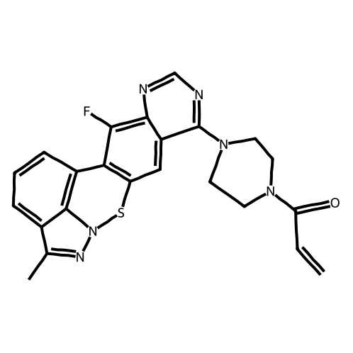 C=CC(=O)N1CCN(c2ncnc3c(F)c4c(cc23)Sn2nc(C)c3cccc-4c32)CC1